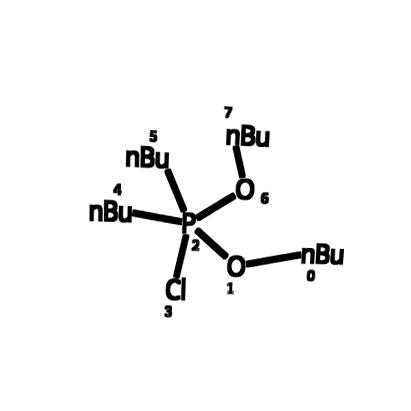 CCCCOP(Cl)(CCCC)(CCCC)OCCCC